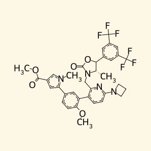 COC(=O)c1cc(-c2ccc(OC)c(-c3ccc(N4CCC4)nc3CN3C(=O)OC(c4cc(C(F)(F)F)cc(C(F)(F)F)c4)[C@@H]3C)c2)n(C)c1